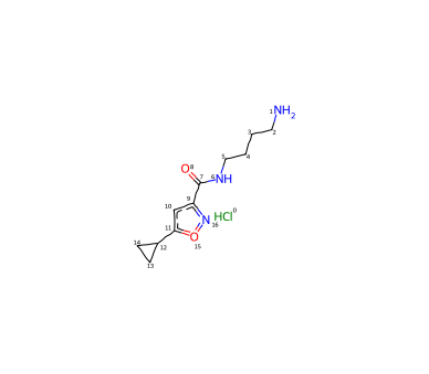 Cl.NCCCCNC(=O)c1cc(C2CC2)on1